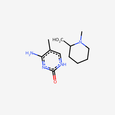 CN1CCCCC1C(=O)O.Cc1c[nH]c(=O)nc1N